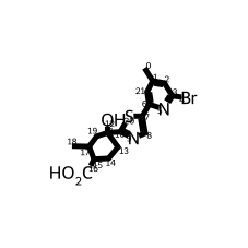 Cc1cc(Br)nc(-c2cnc(C3(O)CCC(C(=O)O)C(C)C3)s2)c1